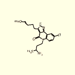 COCCCCc1[nH]nc2c1c(=O)n(CCC(C)N)c1ccc(Cl)cc21